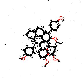 CCOc1c(-c2ccc(OC)cc2)c2ccc3cccc4c(-c5ccc(OC)cc5)c(-c5ccc(OC)cc5)c(c1-c1ccc(OC)cc1)c2c34